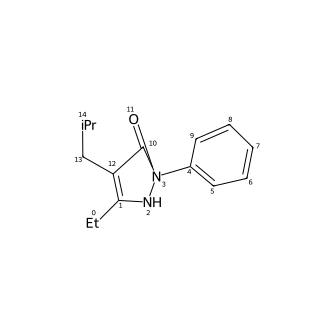 CCc1[nH]n(-c2ccccc2)c(=O)c1CC(C)C